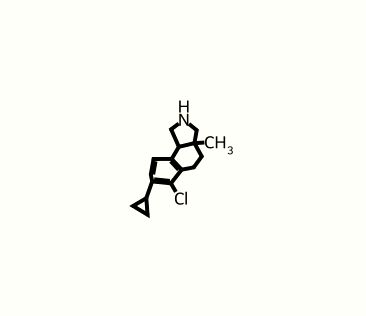 CC12CCc3c(ccc(C4CC4)c3Cl)C1CNC2